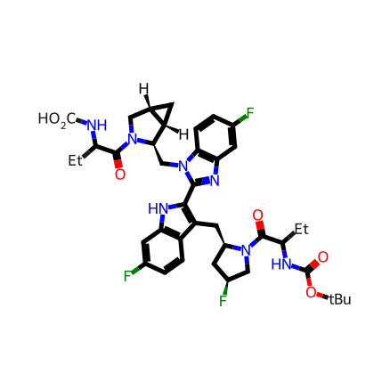 CCC(NC(=O)OC(C)(C)C)C(=O)N1C[C@@H](F)C[C@H]1Cc1c(-c2nc3cc(F)ccc3n2C[C@@H]2[C@H]3C[C@H]3CN2C(=O)C(CC)NC(=O)O)[nH]c2cc(F)ccc12